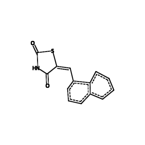 O=C1NC(=O)C(=Cc2cccc3ccccc23)S1